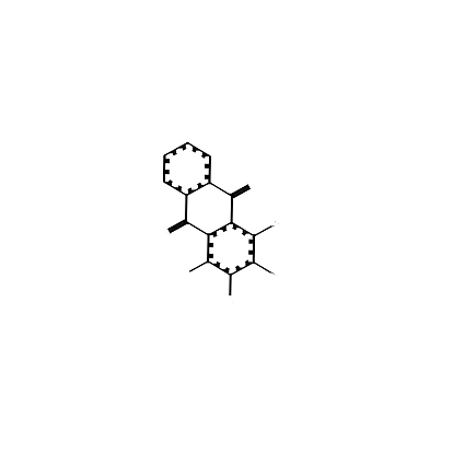 Nc1c(N)c(S(=O)(=O)O)c(S(=O)(=O)O)c2c1C(=O)c1ccccc1C2=O